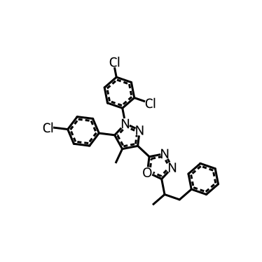 Cc1c(-c2nnc(C(C)Cc3ccccc3)o2)nn(-c2ccc(Cl)cc2Cl)c1-c1ccc(Cl)cc1